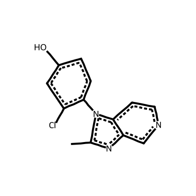 Cc1nc2cnccc2n1-c1ccc(O)cc1Cl